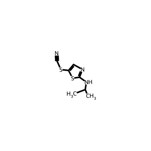 CC(C)Nc1ncc(SC#N)s1